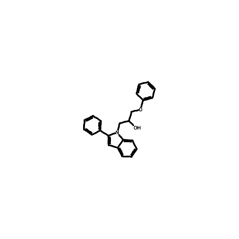 OC(COc1ccccc1)Cn1c(-c2ccccc2)cc2ccccc21